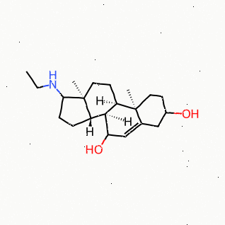 CCNC1CC[C@H]2[C@@H]3C(O)C=C4CC(O)CC[C@]4(C)[C@@H]3CC[C@]12C